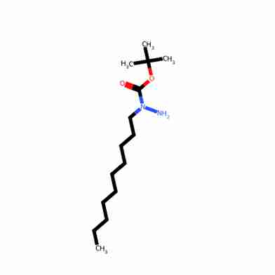 CCCCCCCCCCN(N)C(=O)OC(C)(C)C